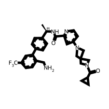 C[C@@H](NC(=O)c1cc(N2CC3(CN(C(=O)C4CC4)C3)C2)ccn1)c1ccc(-c2cc(C(F)(F)F)ccc2CN)cc1